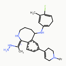 CC1=CC(NC2CCCN/C(=C(/C)NN)c3ccc(C4=CCN(C(C)C)CC4)cc32)=CCC=C1F